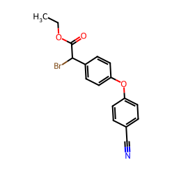 CCOC(=O)C(Br)c1ccc(Oc2ccc(C#N)cc2)cc1